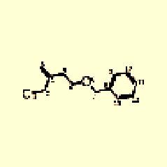 C=C(CCl)CCOCc1ccccc1